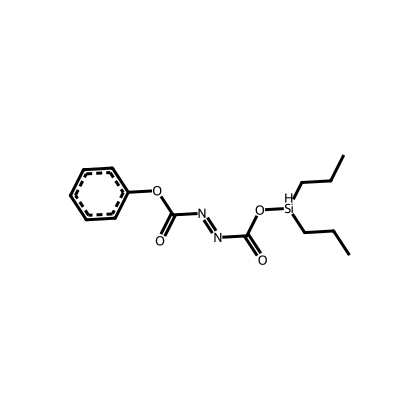 CCC[SiH](CCC)OC(=O)N=NC(=O)Oc1ccccc1